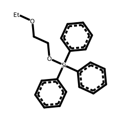 CCOCCO[Si](c1ccccc1)(c1ccccc1)c1ccccc1